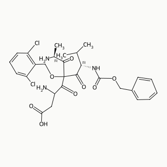 CC(C)[C@H](NC(=O)OCc1ccccc1)C(=O)C(OCc1c(Cl)cccc1Cl)(C(=O)C(N)CC(=O)O)C(=O)[C@H](C)N